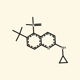 C=P(C)(C)c1c(C(C)(C)C)ccc2nc(NC3CC3)ccc12